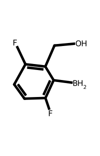 Bc1c(F)ccc(F)c1CO